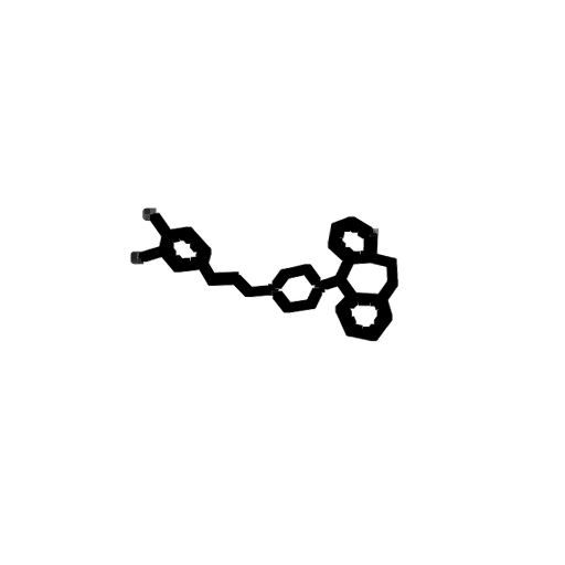 Clc1ccc(C=CCN2CCN(C3c4ccccc4CCc4ncccc43)CC2)cc1Cl